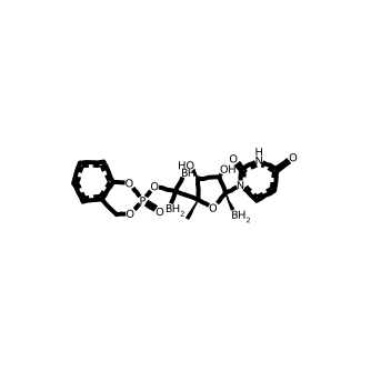 BC(B)(OP1(=O)OCc2ccccc2O1)[C@@]1(C)O[C@@](B)(n2ccc(=O)[nH]c2=O)[C@H](O)[C@@H]1O